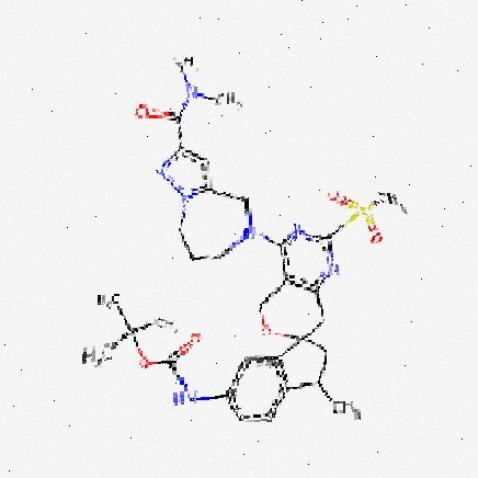 CC1CC2(Cc3nc(S(C)(=O)=O)nc(N4CCCn5nc(C(=O)N(C)C)cc5C4)c3CO2)c2cc(NC(=O)OC(C)(C)C)ccc21